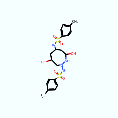 Cc1ccc(S(=O)(=O)NC2CC(O)CN(NS(=O)(=O)c3ccc(C)cc3)NC(O)C2)cc1